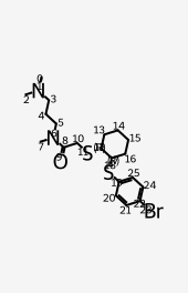 CN(C)CCCN(C)C(=O)CS[C@@H]1CCCC[C@H]1Sc1ccc(Br)cc1